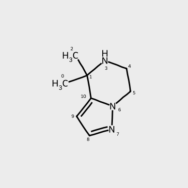 CC1(C)NCCn2nccc21